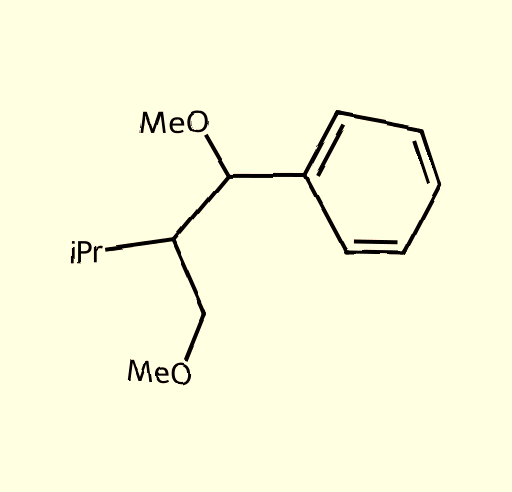 COCC(C(C)C)C(OC)c1ccccc1